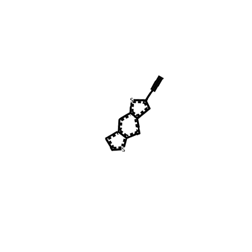 C#Cc1cc2cc3sccc3cc2s1